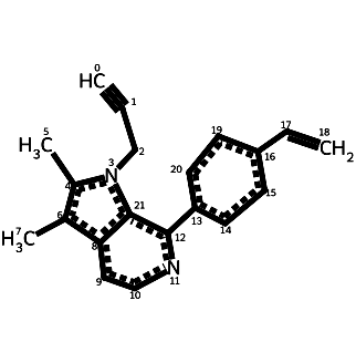 C#CCn1c(C)c(C)c2ccnc(-c3ccc(C=C)cc3)c21